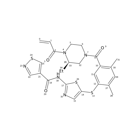 C=CC(=O)N1CCN(C(=O)c2cc(Sc3cnc(NC(=O)c4cnsc4)s3)c(C)cc2C)C[C@H]1CC